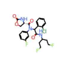 O=C1N[C@H](C(=O)N(c2cccc(F)c2)C(C(=O)NC(CCF)CCF)c2ccccc2Cl)CO1